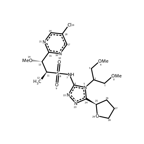 COCC(COC)n1c(NS(=O)(=O)[C@@H](C)[C@H](OC)c2ncc(Cl)cn2)nnc1[C@H]1CCCO1